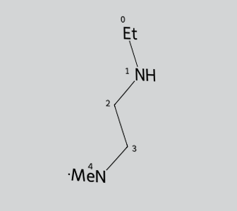 CCNCC[N]C